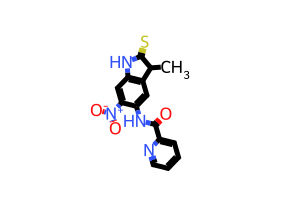 CC1C(=S)Nc2cc([N+](=O)[O-])c(NC(=O)c3ccccn3)cc21